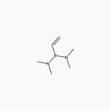 C=CB(N(C)C)N(C)C